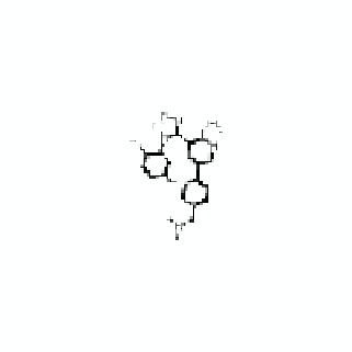 CN(C)Cc1ccc(-c2cnc(N)c(-c3nnnn3-c3cc(F)ccc3Cl)c2)cc1